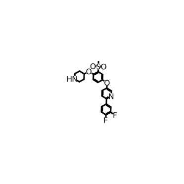 CS(=O)(=O)c1cc(Oc2ccc(-c3ccc(F)c(F)c3)nc2)ccc1OC1CCNCC1